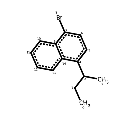 CCC(C)c1ccc(Br)c2ccccc12